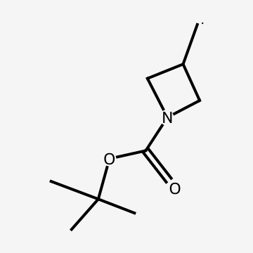 [CH2]C1CN(C(=O)OC(C)(C)C)C1